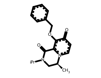 CC(C)N1C[C@H](C)n2ccc(=O)c(OCc3ccccc3)c2C1=O